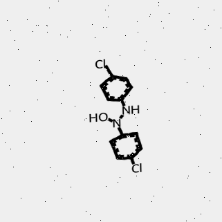 ON(Nc1ccc(Cl)cc1)c1ccc(Cl)cc1